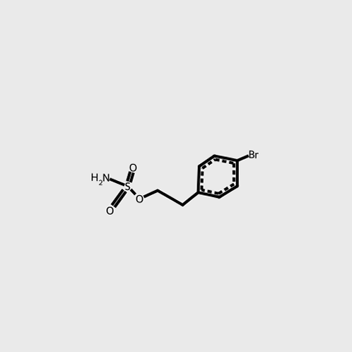 NS(=O)(=O)OCCc1ccc(Br)cc1